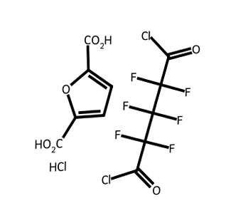 Cl.O=C(Cl)C(F)(F)C(F)(F)C(F)(F)C(=O)Cl.O=C(O)c1ccc(C(=O)O)o1